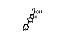 O=C(O)c1cc2sc(-c3ccncc3)nc2[nH]1